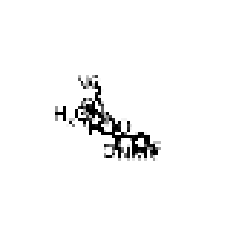 CNC(=O)c1c(-c2ccc(F)cc2)oc2nc(N(CCCC#N)S(C)(=O)=O)c(I)cc12